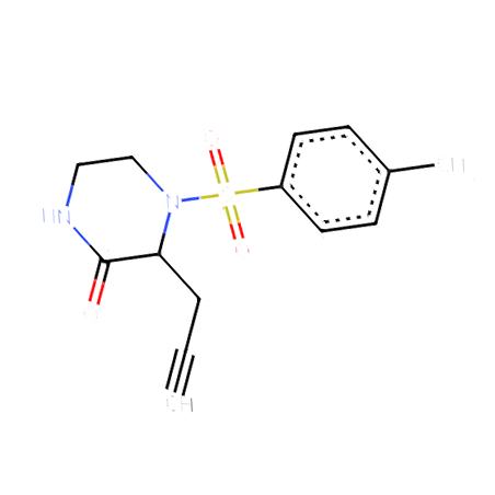 C#CCC1C(=O)NCCN1S(=O)(=O)c1ccc(C)cc1